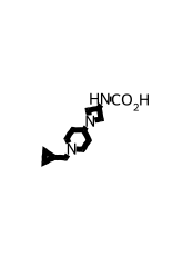 O=C(O)NC1CN(C2CCN(CC3CC3)CC2)C1